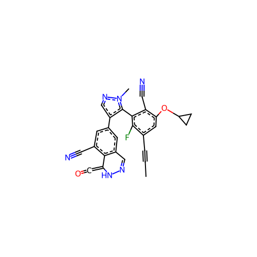 CC#Cc1cc(OC2CC2)c(C#N)c(-c2c(-c3cc(C#N)c4c(c3)C=NNC4=C=O)cnn2C)c1F